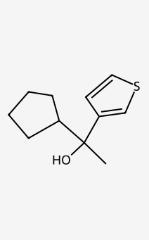 CC(O)(c1ccsc1)C1CCCC1